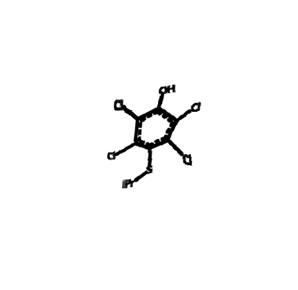 CC(C)Sc1c(Cl)c(Cl)c(O)c(Cl)c1Cl